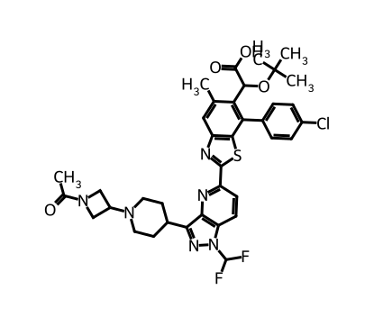 CC(=O)N1CC(N2CCC(c3nn(C(F)F)c4ccc(-c5nc6cc(C)c(C(OC(C)(C)C)C(=O)O)c(-c7ccc(Cl)cc7)c6s5)nc34)CC2)C1